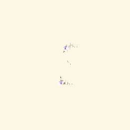 CCCCC(/C=C\COC(=O)CCCCCCCCCC(CCCCCCCCCC(=O)OC/C=C\C(CCCC)CCCC)CCCCN(C)C)CCCC